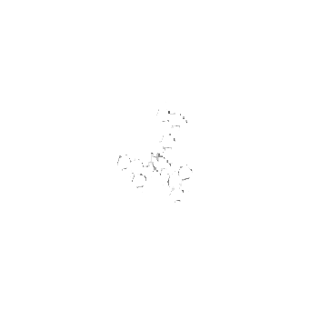 c1ccc2c(-c3ccc(-c4nc(-c5cc6ccccc6c6ccccc56)nc(-c5cc6ccccc6c6ccccc56)n4)cc3)cncc2c1